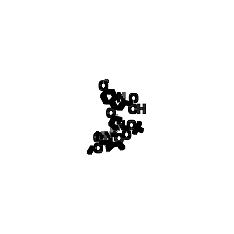 C=CC1C[C@]1(NC(=O)[C@@H]1C[C@@H](Oc2cc(C(=O)O)nc3cc(OC)ccc23)CN1C(=O)OC(C)(C)C)C(=O)OCC